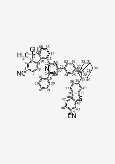 CC1(C)c2cc(C#N)ccc2-c2c(-c3nc(-c4ccccc4)nc(-c4ccc(C56CC7CC(C5)CC(c5ccc8c(c5)sc5cc(C#N)ccc58)(C7)C6)cc4)n3)cccc21